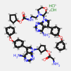 Cl.Cl.NCC(=O)OC1CCC(n2cc(-c3ccc(Oc4ccccc4)cc3)c3c(N)ncnc32)C1.Nc1ncnc2c1c(-c1ccc(Oc3ccccc3)cc1)cn2C1COCCN1CCNC(=O)OC1CCCC1